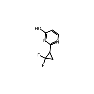 Oc1ccnc(C2CC2(F)F)n1